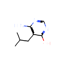 CC(C)Cc1c(N)ncnc1O